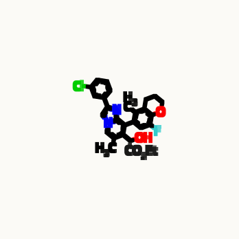 CCOC(=O)[C@@H](O)c1c(C)cn2cc(-c3cccc(Cl)c3)nc2c1-c1cc(F)c2c(c1C)CCCO2